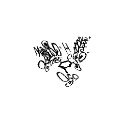 O=P([O-])([O-])OP(=O)([O-])[O-].O=S(=O)([O-])c1cc(O)c(O)c(S(=O)(=O)[O-])c1.[Na+].[Na+].[Na+].[Na+].[Na+].[Na+]